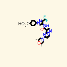 C[C@@H]1CN(c2ccn3ncc(C(=O)Nc4cn(C5CCC(C(=O)O)CC5)nc4C(F)F)c3n2)C[C@H](C)O1